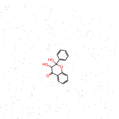 O=C1c2ccccc2OC(O)(c2ccccc2)C1O